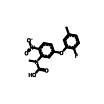 Cc1ccc(F)c(Oc2ccc([N+](=O)[O-])c(N(C)C(=O)O)c2)c1